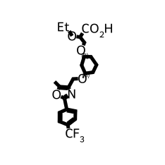 CCOC(CO[C@@H]1CCC[C@H](OCc2nc(-c3ccc(C(F)(F)F)cc3)oc2C)C1)C(=O)O